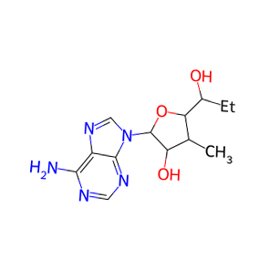 CCC(O)C1OC(n2cnc3c(N)ncnc32)C(O)C1C